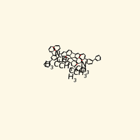 CC(C)(C)c1ccc2c(c1)-c1cc(C(C)(C)C)ccc1C21c2c(ccc3cc(N(c4ccccc4)c4ccc(-c5ccccc5)cc4-c4ccccc4)ccc23)-c2ccc3cc(N(c4ccccc4)c4ccc(-c5ccccc5)cc4-c4ccccc4)ccc3c21